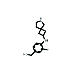 N#CCc1ccc(NC2CC3(CCNC3)C2)c(Cl)c1